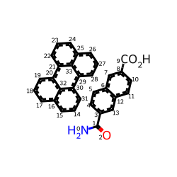 NC(=O)c1ccc2cc(C(=O)O)ccc2c1.c1cc2cccc3c4cccc5cccc(c(c1)c23)c54